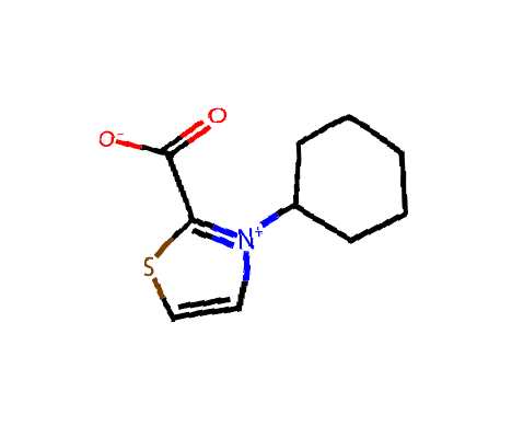 O=C([O-])c1scc[n+]1C1CCCCC1